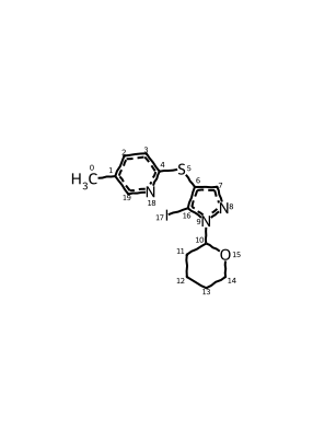 Cc1ccc(Sc2cnn(C3CCCCO3)c2I)nc1